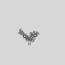 CCN1CCN(c2ccc3oc([C@]4(CN5Cc6ccc(OC)c(F)c6C5=O)NC(=O)NC4=O)cc3n2)C[C@@H]1C